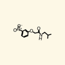 CC(C)CNC(=O)COc1cccc([N+](=O)[O-])c1